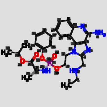 CCNCc1nc2c(N)nc3ccccc3c2n1CCO[P@@](=O)(N[C@H](C)C(=O)OC(C)C)Oc1ccccc1